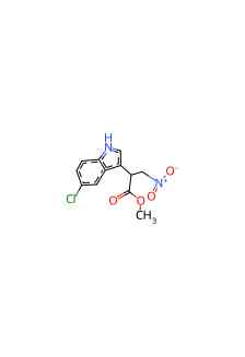 COC(=O)C(C[N+](=O)[O-])c1c[nH]c2ccc(Cl)cc12